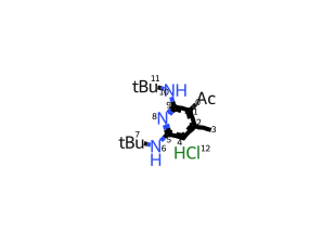 CC(=O)c1c(C)cc(NC(C)(C)C)nc1NC(C)(C)C.Cl